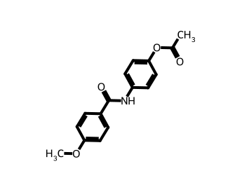 COc1ccc(C(=O)Nc2ccc(OC(C)=O)cc2)cc1